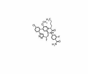 CCCCC(C(=O)Nc1ccc(C(N)=O)c(F)c1)n1cc(OC)c(-c2cc(Cl)ccc2-n2cc(C(F)F)nn2)cc1=O